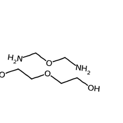 NCOCN.OCCOCCO